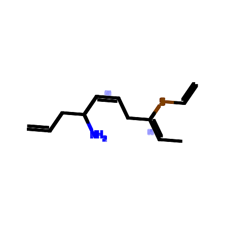 C=CCC(N)/C=C\C/C(=C/C)SC=C